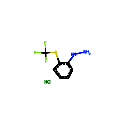 Cl.NNc1ccccc1SC(F)(F)F